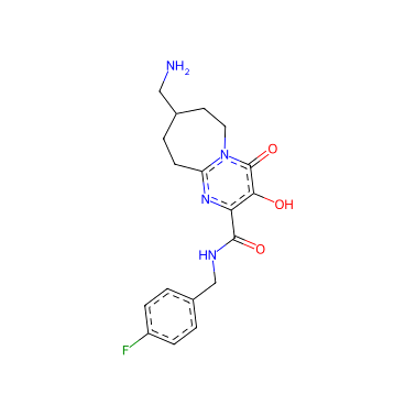 NCC1CCc2nc(C(=O)NCc3ccc(F)cc3)c(O)c(=O)n2CC1